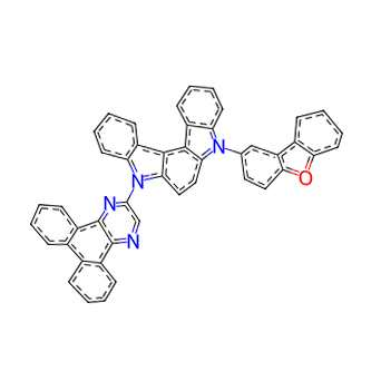 c1ccc2c(c1)oc1ccc(-n3c4ccccc4c4c5c6ccccc6n(-c6cnc7c8ccccc8c8ccccc8c7n6)c5ccc43)cc12